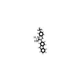 CC(C)(C)c1ccc(CN(C(=N)N)c2ccc3c(c2)Cc2ccccc2-3)cc1